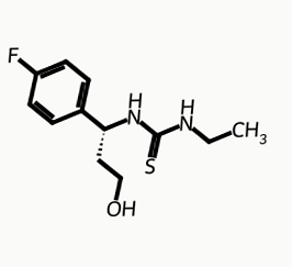 CCNC(=S)N[C@H](CCO)c1ccc(F)cc1